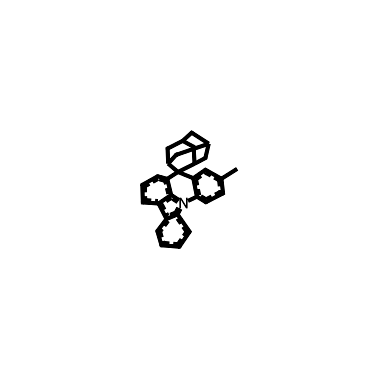 Cc1ccc2c(c1)C1(c3cccc4c5ccccc5n-2c34)C2CC3CC(C2)CC1C3